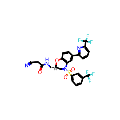 N#CCC(=O)NC[C@H]1CN(S(=O)(=O)c2cccc(C(F)(F)F)c2)c2cc(-c3cccc(C(F)(F)F)n3)ccc2O1